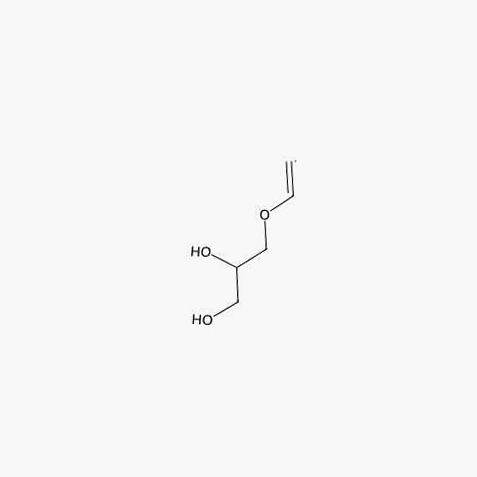 [CH]=COCC(O)CO